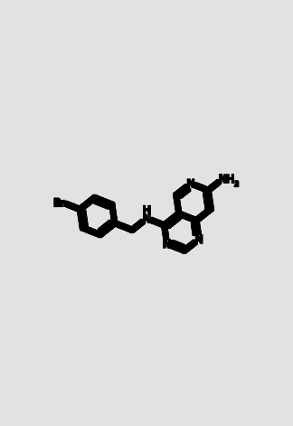 Nc1cc2ncnc(NCc3ccc(Br)cc3)c2cn1